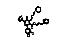 O=C(OCCCc1ccccc1)C1=C(COCCN2CCCCC2)NC(c2cccs2)=NC1c1ccc(Cl)c(Cl)c1